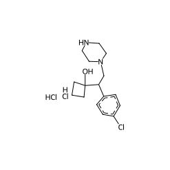 Cl.Cl.OC1(C(CN2CCNCC2)c2ccc(Cl)cc2)CCC1